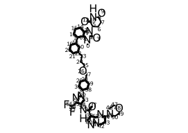 Cn1c(=O)n(C2CCC(=O)NC2=O)c2cccc(-c3cccc(CCCOCc4ccc(-n5cc(NC(=O)c6cnn7ccc(N8CCOCC8)nc67)c(C(F)F)n5)cc4)c3)c21